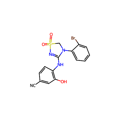 N#Cc1ccc(NC2=NS(=O)(=O)CN2c2ccccc2Br)c(O)c1